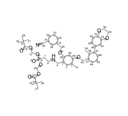 Cc1cc(CNCCP(=O)(OCOC(=O)C(C)(C)C)OCOC(=O)C(C)(C)C)c(OCc2cccc(C#N)c2)cc1OCc1cccc(-c2ccc3c(c2)OCCO3)c1C